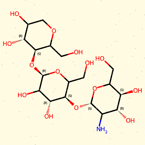 NC1[C@H](O[C@@H]2C(CO)O[C@H](O[C@@H]3C(CO)OCC(O)[C@H]3O)C(O)[C@H]2O)OC(CO)[C@@H](O)[C@@H]1O